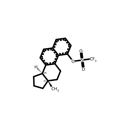 C[C@@]12CCC[C@H]1c1ccc3cccc(OS(=O)(=O)C(F)(F)F)c3c1CC2